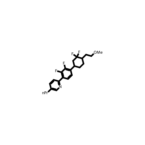 CCCc1ccc(-c2ccc(C3CCC(CCOC)C(F)(F)C3)c(F)c2F)nc1